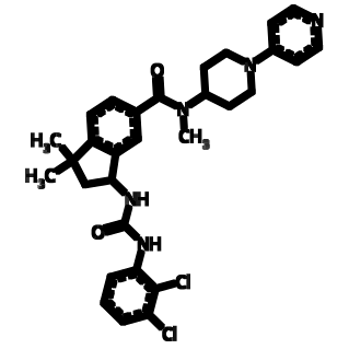 CN(C(=O)c1ccc2c(c1)C(NC(=O)Nc1cccc(Cl)c1Cl)CC2(C)C)C1CCN(c2ccncc2)CC1